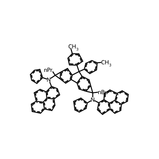 CCCCC1(N(c2ccccc2)c2ccc3ccc4cccc5ccc2c3c45)c2cc3c(cc21)C(c1ccc(C)cc1)(c1ccc(C)cc1)c1cc2c(cc1-3)C2(CCC)N(c1ccccc1)c1ccc2ccc3cccc4ccc1c2c34